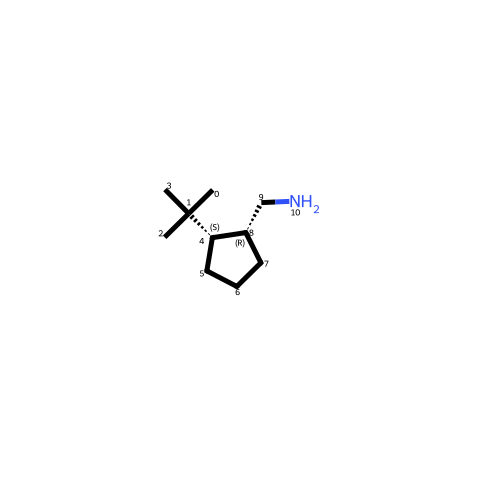 CC(C)(C)[C@H]1CCC[C@H]1CN